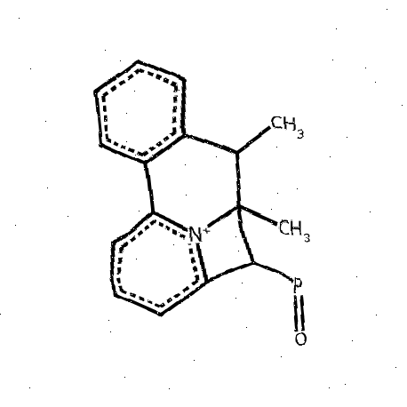 CC1c2ccccc2-c2cccc3[n+]2C1(C)C3P=O